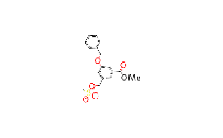 COC(=O)c1cc(COS(C)(=O)=O)cc(OCc2ccccc2)c1